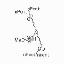 CCCCCC(CCCCC)CCOC(=O)CCCCCCCN(CCCCCCCC(=O)OCCC(CCCCC)CCCCC)CCCNS(=O)(=O)CCOC